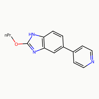 CCCOc1nc2cc(-c3ccncc3)ccc2[nH]1